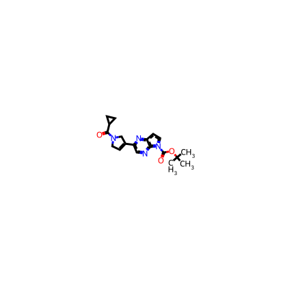 CC(C)(C)OC(=O)n1ccc2nc(C3=CCN(C(=O)C4CC4)C3)cnc21